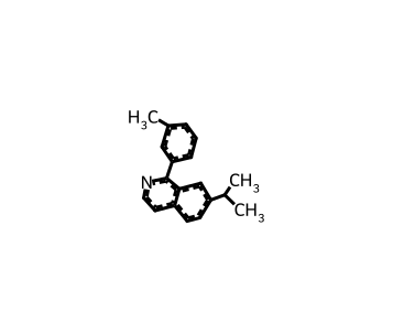 Cc1cccc(-c2nccc3ccc(C(C)C)cc23)c1